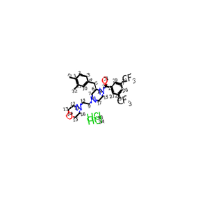 Cc1ccc(C[C@@H]2CN(CCN3CCOCC3)CCN2C(=O)c2cc(C(F)(F)F)cc(C(F)(F)F)c2)cc1C.Cl.Cl